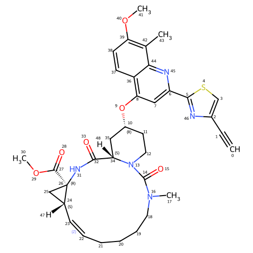 C#Cc1csc(-c2cc(O[C@@H]3CCN4C(=O)N(C)CCCC/C=C\[C@@H]5C[C@@]5(C(=O)OC)NC(=O)[C@@H]4C3)c3ccc(OC)c(C)c3n2)n1